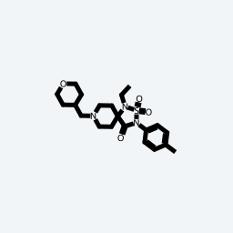 CCN1C2(CCN(CC3CCOCC3)CC2)C(=O)N(c2ccc(C)cc2)S1(=O)=O